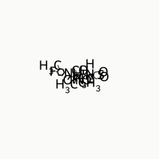 Cc1cc(NC(=O)c2c(C)c(C(=O)C(=O)NC3(C)CCS(=O)(=O)CC3)n(C)c2C)ccc1F